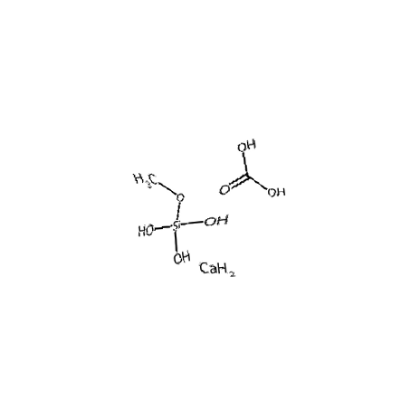 CO[Si](O)(O)O.O=C(O)O.[CaH2]